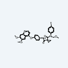 COCN(C(=O)C1(C(=O)Nc2ccc(Oc3ccnc4cc(OC)c(OC)cc34)cc2)CC1)c1ccc(F)cc1